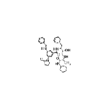 C[C@H](NC[C@@H](O)[C@H](Cc1ccccc1)NC(=O)c1cc(NCc2ccccc2)cc(N2CCCC2=O)c1)C(=O)NC1CCCCC1